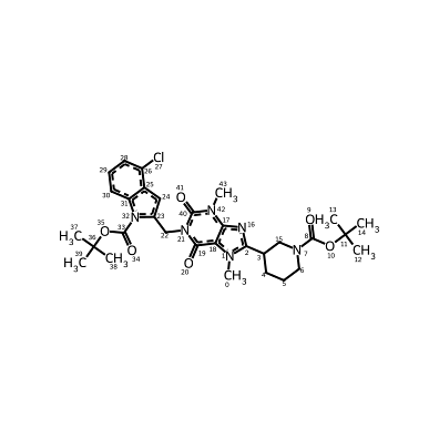 Cn1c(C2CCCN(C(=O)OC(C)(C)C)C2)nc2c1c(=O)n(Cc1cc3c(Cl)cccc3n1C(=O)OC(C)(C)C)c(=O)n2C